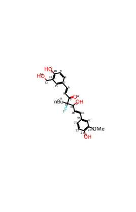 CCCCC(F)(C(=O)/C=C/c1ccc(O)c(CO)c1)C(O)/C=C/c1ccc(O)c(OC)c1